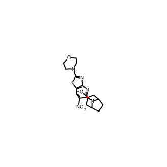 O=[N+]([O-])c1cc2sc(N3CCOCC3)nc2nc1N1C2CCC1CC(O)C2